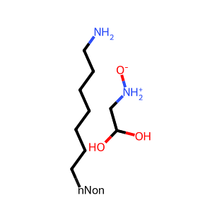 CCCCCCCCCCCCCCCCN.[O-][NH2+]CC(O)O